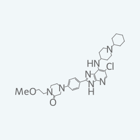 COCCN1CCN(c2ccc(-c3nc4c(NC5CCN(C6CCCCC6)CC5)c(Cl)cnc4[nH]3)cc2)CC1=O